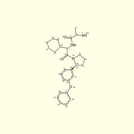 CNC(C)C(=O)NC(C(=O)N1CCC[C@H]1c1cccc(Oc2ccccc2)c1)C1CCCCC1